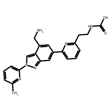 Cc1cccc(-n2cc3c(CN)cc(-c4cccc(CCNC(=O)O)n4)cc3n2)n1